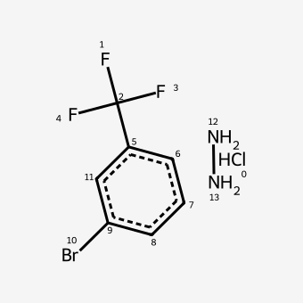 Cl.FC(F)(F)c1cccc(Br)c1.NN